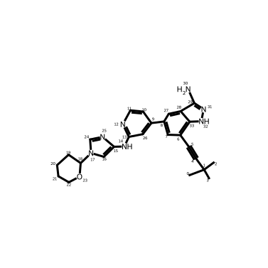 CC(C)(C)C#Cc1cc(-c2ccnc(Nc3cn(C4CCCCO4)cn3)c2)cc2c(N)n[nH]c12